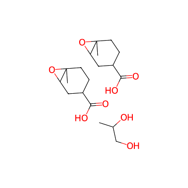 CC(O)CO.CC12CCC(C(=O)O)CC1O2.CC12CCC(C(=O)O)CC1O2